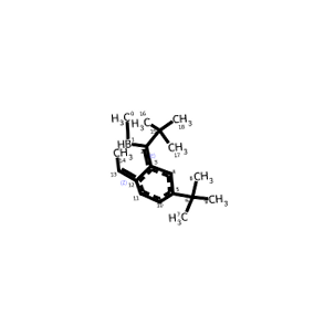 CB/C(=c1/cc(C(C)(C)C)cc/c1=C/C)C(C)(C)C